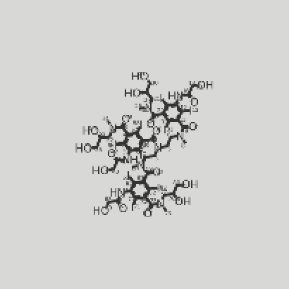 CN(CCN(CCN(C)C(=O)c1c(I)c(NC(=O)CO)c(I)c(C(=O)N(C)CC(O)CO)c1I)C(=O)c1c(I)c(NC(=O)CO)c(I)c(C(=O)N(C)CC(O)CO)c1I)C(=O)c1c(I)c(NC(=O)CO)c(I)c(C(=O)N(C)CC(O)CO)c1I